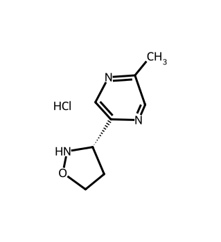 Cc1cnc([C@@H]2CCON2)cn1.Cl